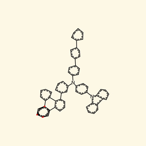 c1ccc(-c2ccc(-c3ccc(N(c4ccc(-n5c6ccccc6c6ccccc65)cc4)c4cccc(-c5cccc(-c6ccccc6)c5-c5ccccc5-c5ccccc5)c4)cc3)cc2)cc1